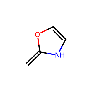 C=C1NC=CO1